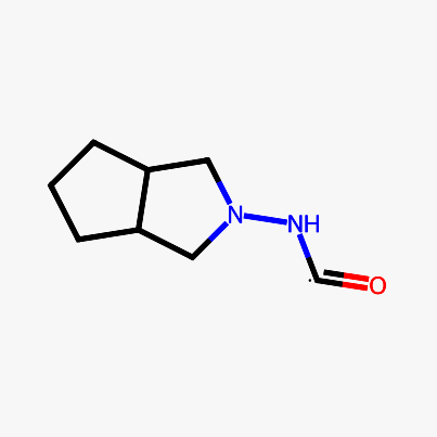 O=[C]NN1CC2CCCC2C1